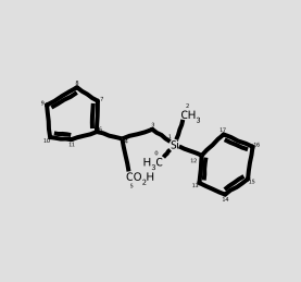 C[Si](C)(CC(C(=O)O)c1ccccc1)c1ccccc1